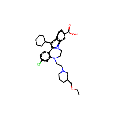 CCOCC1CCCN(CCN2CCn3c(c(C4CCCCC4)c4ccc(C(=O)O)cc43)-c3ccc(Cl)cc32)C1